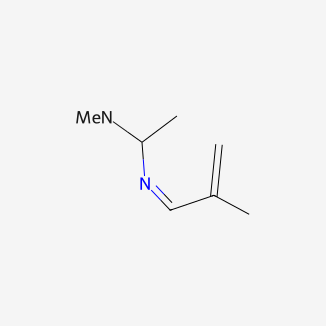 C=C(C)/C=N\C(C)NC